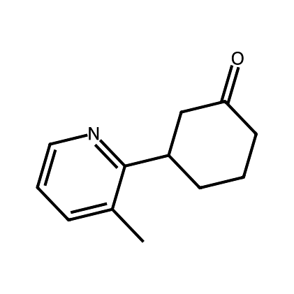 Cc1cccnc1C1CCCC(=O)C1